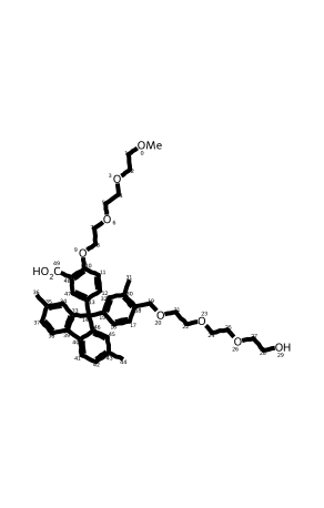 COCCOCCOCCOc1ccc(C2(c3ccc(COCCOCCOCCO)c(C)c3)c3cc(C)ccc3-c3ccc(C)cc32)cc1C(=O)O